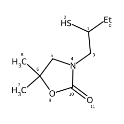 CCC(S)CN1CC(C)(C)OC1=O